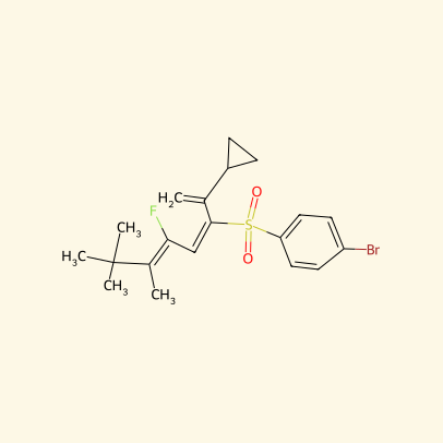 C=C(/C(=C\C(F)=C(/C)C(C)(C)C)S(=O)(=O)c1ccc(Br)cc1)C1CC1